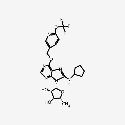 C[C@H]1O[C@@H](n2c(NC3CCCC3)nc3c(OCc4ccc(OC(F)(F)F)nc4)ncnc32)[C@H](O)[C@@H]1O